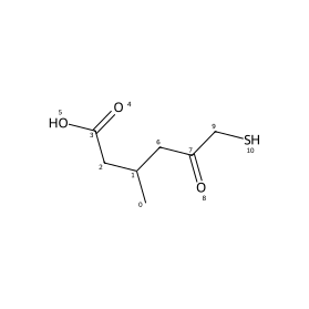 CC(CC(=O)O)CC(=O)CS